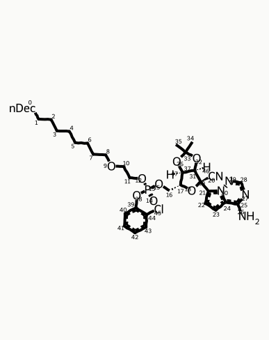 CCCCCCCCCCCCCCCCCCOCCOP(=O)(OC[C@H]1O[C@@](C#N)(c2ccc3c(N)ncnn23)[C@@H]2OC(C)(C)O[C@@H]21)Oc1ccccc1Cl